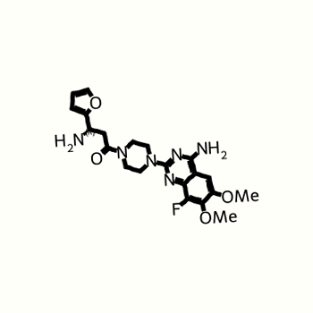 COc1cc2c(N)nc(N3CCN(C(=O)C[C@@H](N)c4ccco4)CC3)nc2c(F)c1OC